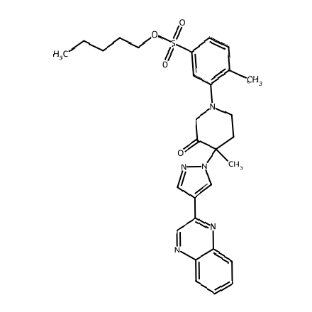 CCCCCOS(=O)(=O)c1ccc(C)c(N2CCC(C)(n3cc(-c4cnc5ccccc5n4)cn3)C(=O)C2)c1